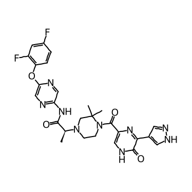 C[C@@H](C(=O)Nc1cnc(Oc2ccc(F)cc2F)cn1)N1CCN(C(=O)c2c[nH]c(=O)c(-c3cn[nH]c3)n2)C(C)(C)C1